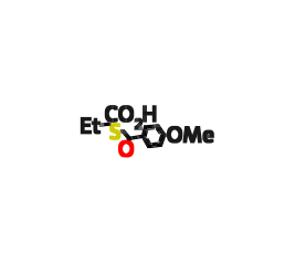 CCC(SCC(=O)c1ccc(OC)cc1)C(=O)O